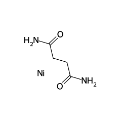 NC(=O)CCC(N)=O.[Ni]